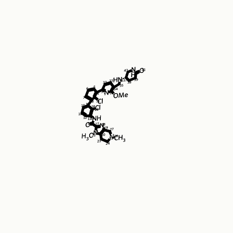 COc1nc(-c2cccc(-c3cccc(NC(=O)c4nc5c(n4C)CCN(C)C5)c3Cl)c2Cl)ccc1CN[C@H]1CCC(=O)NC1